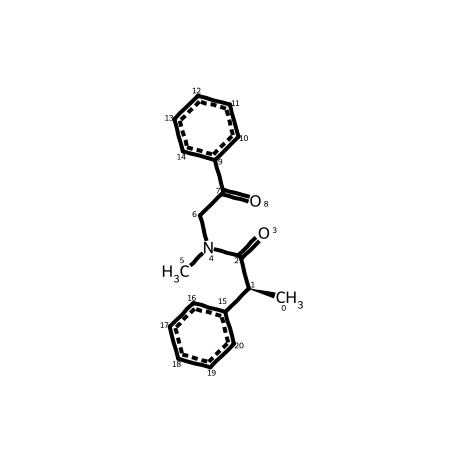 C[C@H](C(=O)N(C)CC(=O)c1ccccc1)c1ccccc1